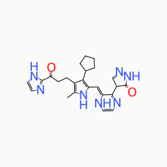 Cc1[nH]c(C=C2NC=CN=C2C2C=NNC2=O)c(C2CCCC2)c1CCC(=O)c1ncc[nH]1